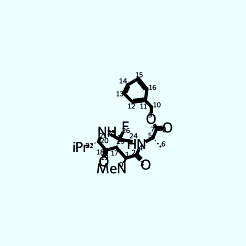 CN[C@H](C(=O)N[C@@H](C)C(=O)OCc1ccccc1)[C@H](C(=O)[C@@H](N)C(C)C)C(C)(C)F